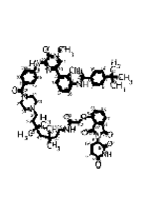 Cc1c(NC(=O)c2ccc(C(C)(C)C)cc2)cccc1-c1cn(C)c(=O)c(Nc2ccc(C(=O)N3CCN(CCC(C)(C)CC(C)(C)CCNC(=O)COc4cccc5c4C(=O)N(C4CCC(=O)NC4=O)C5=O)CC3)cc2)n1